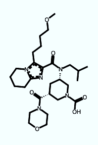 COCCCCc1c(C(=O)N(CC(C)C)[C@H]2C[C@@H](C(=O)N3CCOCC3)CN(C(=O)O)C2)nc2n1CCCC2